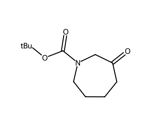 CC(C)(C)OC(=O)N1CCCCC(=O)C1